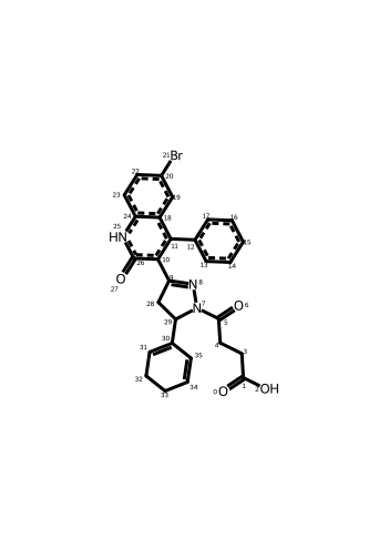 O=C(O)CCC(=O)N1N=C(c2c(-c3ccccc3)c3cc(Br)ccc3[nH]c2=O)CC1C1=CCCC=C1